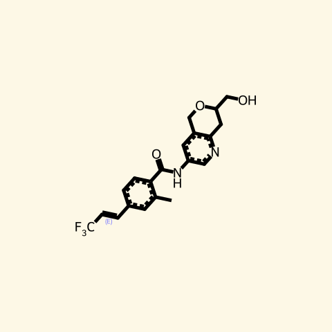 Cc1cc(/C=C/C(F)(F)F)ccc1C(=O)Nc1cnc2c(c1)COC(CO)C2